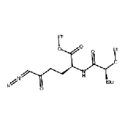 CCO[C@H](C(=O)N[C@@H](CCC(=O)C=[N+]=[N-])C(=O)OC(C)C)C(C)(C)C